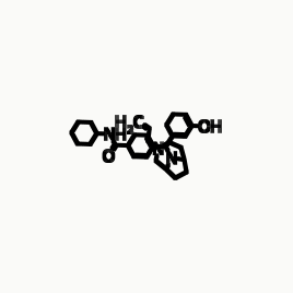 C=CCN1CCC2CCC(C1)N2C(C1=CCC(C(=O)NC2CCCCC2)C=C1)C1=CC(O)=CCC1